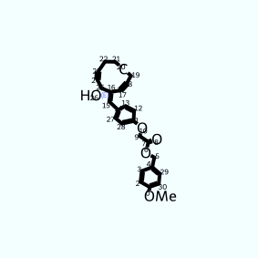 COc1ccc(COC(=O)COc2ccc(/C=C3\C#CCCCCC#CC3O)cc2)cc1